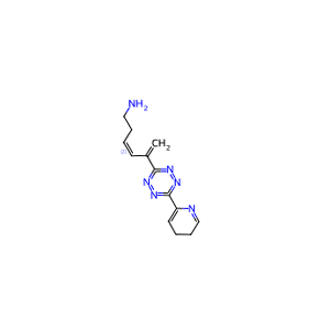 C=C(/C=C\CCN)c1nnc(C2=CCCC=N2)nn1